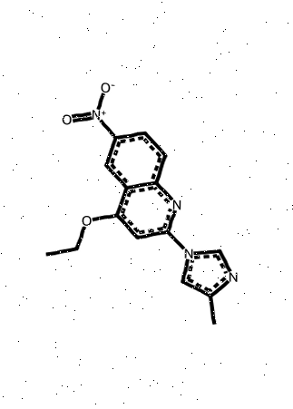 CCOc1cc(-n2cnc(C)c2)nc2ccc([N+](=O)[O-])cc12